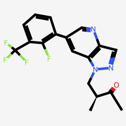 CC(=O)[C@@H](C)Cn1ncc2ncc(-c3cccc(C(F)(F)F)c3F)cc21